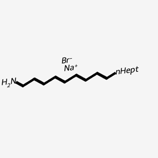 CCCCCCCCCCCCCCCCN.[Br-].[Na+]